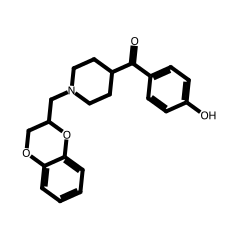 O=C(c1ccc(O)cc1)C1CCN(CC2COc3ccccc3O2)CC1